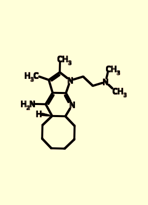 Cc1c(C)n(CCN(C)C)c2c1=C(N)[C@H]1CCCCCCC1N=2